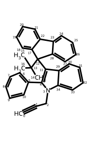 C#CCn1c(-c2ccccc2)c(C2(C(C)(C)C)c3ccccc3-c3ccccc32)c2ccccc21